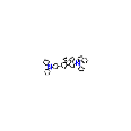 C[Si]1(C)c2cc(-c3ccc(N(c4ccccc4)c4ccccc4)cc3)ccc2-c2ccc(N(c3ccccc3)c3cccc4ccccc34)c3cccc1c23